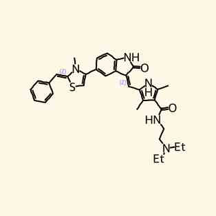 CCN(CC)CCNC(=O)c1c(C)[nH]c(/C=C2\C(=O)Nc3ccc(C4=CS/C(=C\c5ccccc5)N4C)cc32)c1C